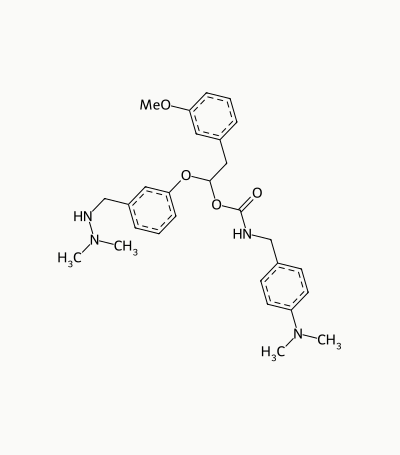 COc1cccc(CC(OC(=O)NCc2ccc(N(C)C)cc2)Oc2cccc(CNN(C)C)c2)c1